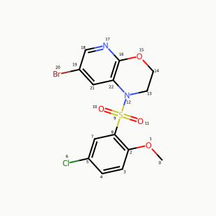 COc1ccc(Cl)cc1S(=O)(=O)N1CCOc2ncc(Br)cc21